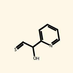 OC([C]=S)c1ccccn1